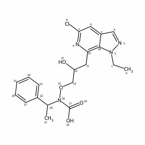 CCn1ncc2cc(Cl)nc(CC(O)CON(C(=O)O)C(C)c3ccccc3)c21